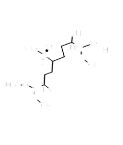 CO[SiH](OC)C(C)CCC(CCC(C)[SiH](OC)OC)S(=O)(O)=S